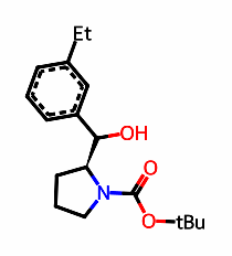 CCc1cccc(C(O)[C@@H]2CCCN2C(=O)OC(C)(C)C)c1